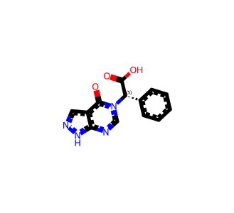 O=C(O)[C@H](c1ccccc1)n1cnc2[nH]ncc2c1=O